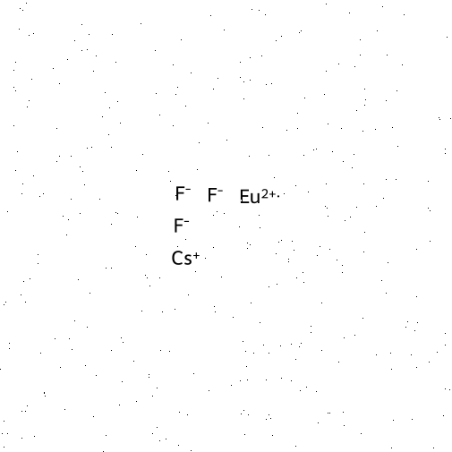 [Cs+].[Eu+2].[F-].[F-].[F-]